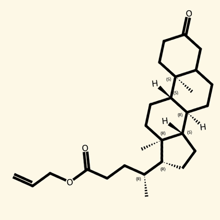 C=CCOC(=O)CC[C@@H](C)[C@H]1CC[C@H]2[C@@H]3CCC4CC(=O)CC[C@]4(C)[C@H]3CC[C@]12C